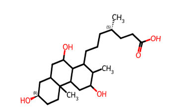 CC1C(O)CC2C(C(O)CC3C[C@H](O)CCC32C)C1CCC[C@H](C)CCC(=O)O